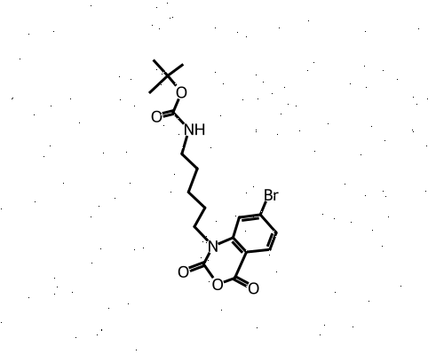 CC(C)(C)OC(=O)NCCCCCn1c(=O)oc(=O)c2ccc(Br)cc21